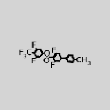 Cc1ccc(-c2cc(F)c(C(=O)Oc3cc(F)c(C(F)(F)F)c(F)c3)c(F)c2)cc1